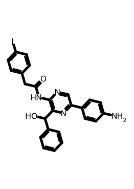 Nc1ccc(-c2cnc(NC(=O)Cc3ccc(I)cc3)c(C(O)c3ccccc3)n2)cc1